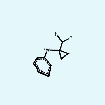 FC(F)C1(Nc2ccccc2)CC1